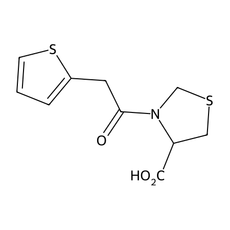 O=C(O)C1CSCN1C(=O)Cc1cccs1